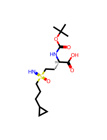 CC(C)(C)OC(=O)N[C@@H](CCS(=N)(=O)CCCC1CC1)C(=O)O